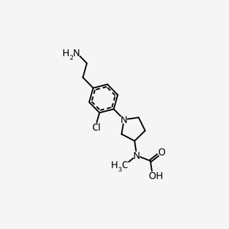 CN(C(=O)O)C1CCN(c2ccc(CCN)cc2Cl)C1